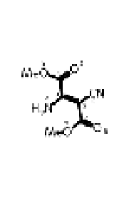 COC(=O)/C(N)=C(\C#N)C(=O)OC